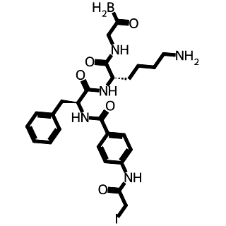 BC(=O)CNC(=O)[C@H](CCCCN)NC(=O)[C@H](Cc1ccccc1)NC(=O)c1ccc(NC(=O)CI)cc1